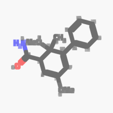 COC1=CC(C(N)=O)C(C)(OC)C(c2ccccc2)=C1